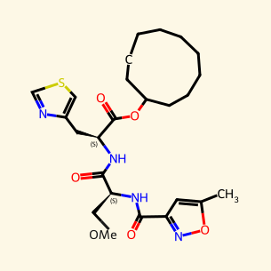 COC[C@H](NC(=O)c1cc(C)on1)C(=O)N[C@@H](Cc1cscn1)C(=O)OC1CCCCCCCCC1